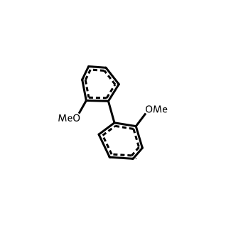 COc1c[c]ccc1-c1ccccc1OC